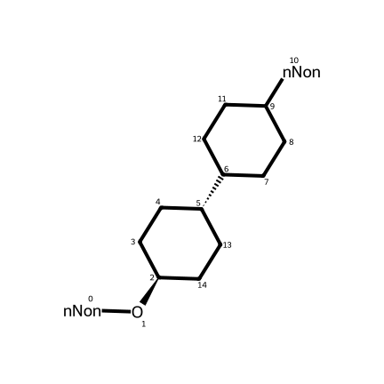 CCCCCCCCCO[C@H]1CC[C@H](C2CCC(CCCCCCCCC)CC2)CC1